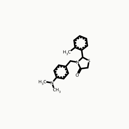 Cc1ccccc1C1SCC(=O)N1Cc1ccc(N(C)C)cc1